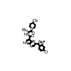 Cn1nc(-c2cnc3[nH]cc(C(=O)N[C@@H](C(=O)N4CCC(C#N)CC4)C(C)(C)C)c3n2)c2ccc(Cl)cc21